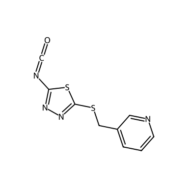 O=C=Nc1nnc(SCc2cccnc2)s1